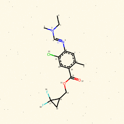 CCN(C)/C=N/c1cc(C)c(C(=O)OCC2CC2(F)F)cc1Cl